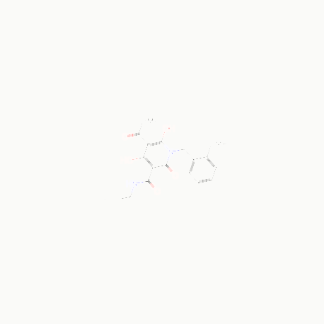 CCOC(=O)CNC(=O)c1c(O)c(C(=O)OC)c(O)n(Cc2ccccc2OC)c1=O